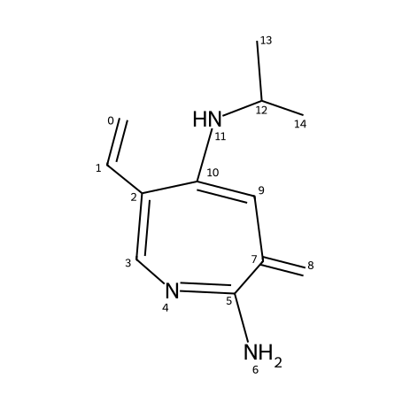 C=CC1=CN=C(N)C(=C)C=C1NC(C)C